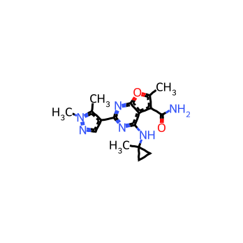 Cc1oc2nc(-c3cnn(C)c3C)nc(NC3(C)CC3)c2c1C(N)=O